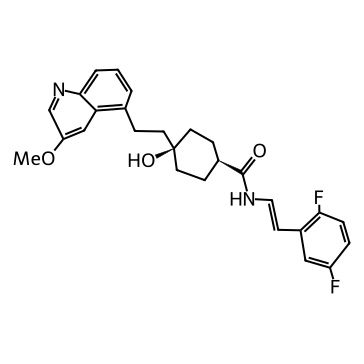 COc1cnc2cccc(CC[C@]3(O)CC[C@@H](C(=O)NC=Cc4cc(F)ccc4F)CC3)c2c1